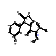 N=C(/C(=N\O)[N+](=O)[O-])c1noc(=O)n1-c1cccc(Cl)c1